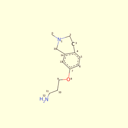 CN1CCc2ccc(OCCCN)cc2C1